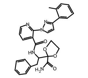 Cc1ccccc1-c1ccn(-c2ncccc2C(=O)NC(Cc2ccccc2)C2(C(N)=O)OCCO2)n1